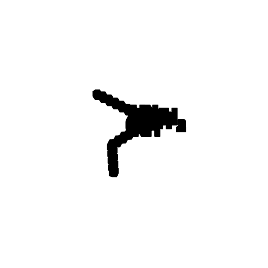 CCCCCCCC/C=C\CCCCCCCC(=O)N[C@@H](CCNC(=N)N)C(=O)NC(C)CCCCCCCCCCCCCC